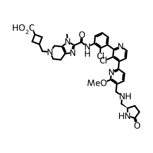 COc1nc(-c2ccnc(-c3cccc(NC(=O)c4nc5c(n4C)CN(CC4CC(C(=O)O)C4)CC5)c3Cl)c2Cl)ccc1CNC[C@H]1CCC(=O)N1